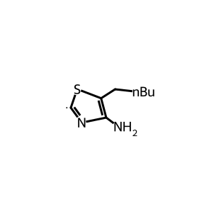 CCCCCc1s[c]nc1N